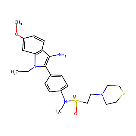 CCn1c(-c2ccc(N(C)S(=O)(=O)CCN3CCSCC3)cc2)c(N)c2ccc(OC)cc21